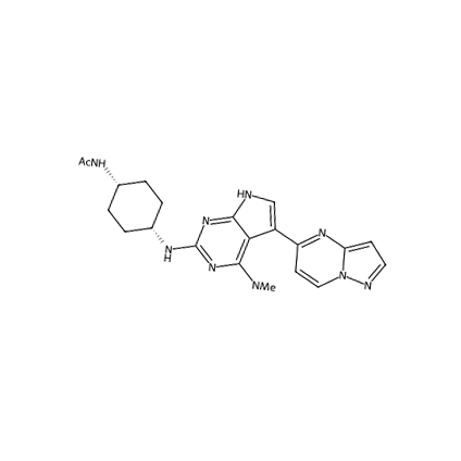 CNc1nc(N[C@H]2CC[C@@H](NC(C)=O)CC2)nc2[nH]cc(-c3ccn4nccc4n3)c12